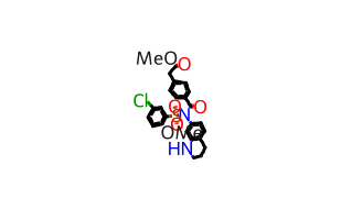 COC(=O)Cc1ccc(C(=O)N(c2ccc3c(c2)NCCC3)S(=O)(=O)c2cc(Cl)ccc2OC)cc1